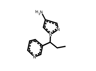 CCC(c1cccnc1)n1cc(N)cn1